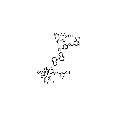 COC(=O)C(C)(CO)N(C)Cc1cc(Cl)c(O[C@H]2CCc3c(-c4cccc5c4CC[C@@H]5Oc4cc(OCc5cncc(C#N)c5)c(CN(C)C(C)(CCO)C(=O)OC)cc4Cl)cccc32)cc1OCc1cncc(C#N)c1